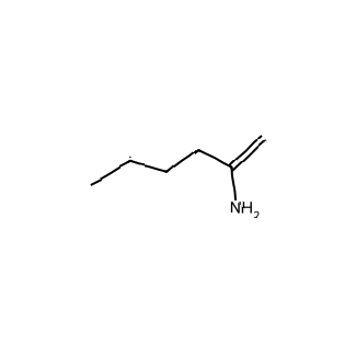 C=C(N)CC[CH]C